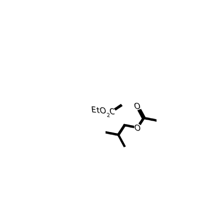 CC(=O)OCC(C)C.CCOC(C)=O